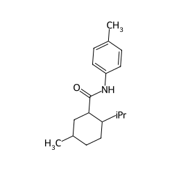 Cc1ccc(NC(=O)C2CC(C)CCC2C(C)C)cc1